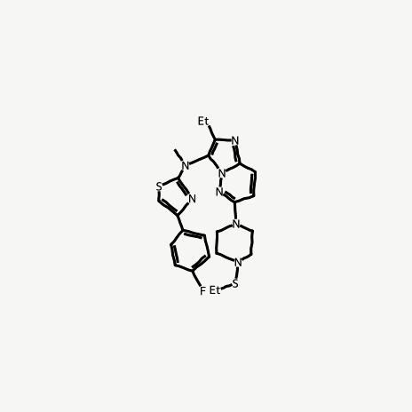 CCSN1CCN(c2ccc3nc(CC)c(N(C)c4nc(-c5ccc(F)cc5)cs4)n3n2)CC1